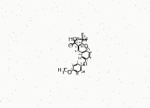 COc1ccc(Oc2ccc3c(c2)C=C(C(=O)O)[C@@H](C(F)(F)F)O3)cc1